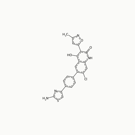 Cc1cc(-c2c(O)c3cc(-c4ccc(-c5csc(N)n5)cc4)c(Cl)cc3[nH]c2=O)on1